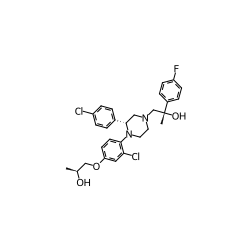 C[C@H](O)COc1ccc(N2CCN(C[C@@](C)(O)c3ccc(F)cc3)C[C@H]2c2ccc(Cl)cc2)c(Cl)c1